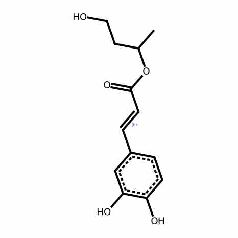 CC(CCO)OC(=O)/C=C/c1ccc(O)c(O)c1